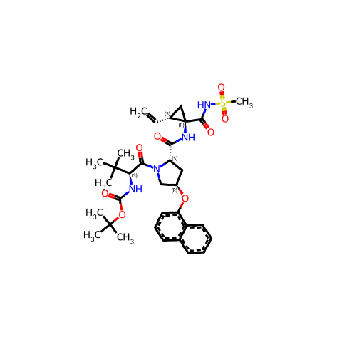 C=C[C@@H]1C[C@]1(NC(=O)[C@@H]1C[C@@H](Oc2cccc3ccccc23)CN1C(=O)[C@@H](NC(=O)OC(C)(C)C)C(C)(C)C)C(=O)NS(C)(=O)=O